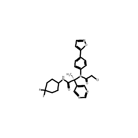 C[C@@](C(=O)NC1CCC(F)(F)CC1)(c1cncnc1)N(C(=O)CCl)c1ccc(-c2ccno2)cc1